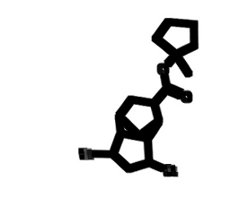 CCC1CC(CC)C2C3CC(CC3C(=O)OC3(C)CCCC3)C12